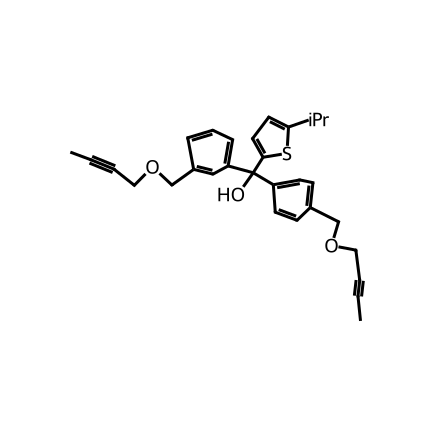 CC#CCOCc1ccc(C(O)(c2cccc(COCC#CC)c2)c2ccc(C(C)C)s2)cc1